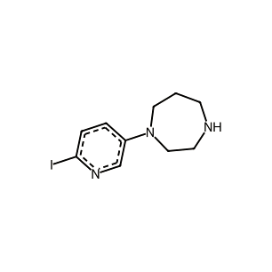 Ic1ccc(N2CCCNCC2)cn1